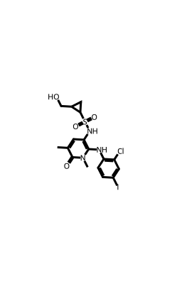 Cc1cc(NS(=O)(=O)C2CC2CO)c(Nc2ccc(I)cc2Cl)n(C)c1=O